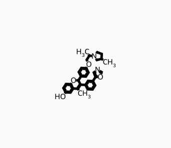 CC1=C(c2cccc(-c3cnco3)c2)C(c2ccc(OCC(C)N3CCC(C)C3)cc2)Oc2ccc(O)cc21